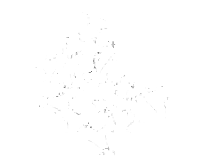 c1ccc(N(c2ccccc2)c2ncc(C(=C(c3cnc(N(c4ccccc4)c4ccccc4)s3)c3cnc(N(c4ccccc4)c4ccccc4)s3)c3cnc(N(c4ccccc4)c4ccccc4)s3)s2)cc1